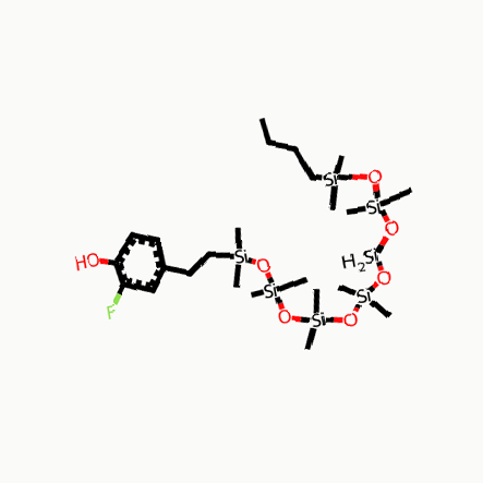 CCCC[Si](C)(C)O[Si](C)(C)O[SiH2]O[Si](C)(C)O[Si](C)(C)O[Si](C)(C)O[Si](C)(C)CCc1ccc(O)c(F)c1